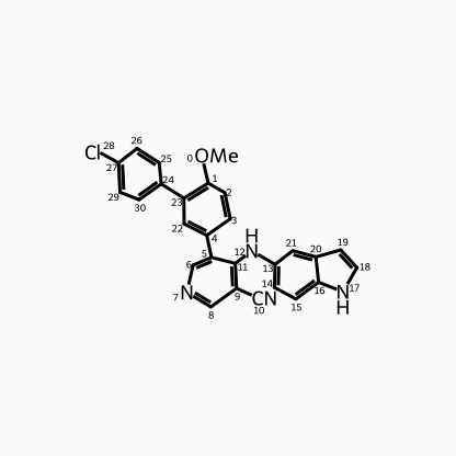 COc1ccc(-c2cncc(C#N)c2Nc2ccc3[nH]ccc3c2)cc1-c1ccc(Cl)cc1